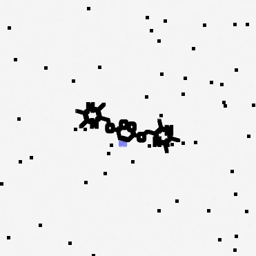 Cc1nc(C)c(COC(=O)/C=C\C(=O)OCc2nc(C)c(C)nc2C)nc1C